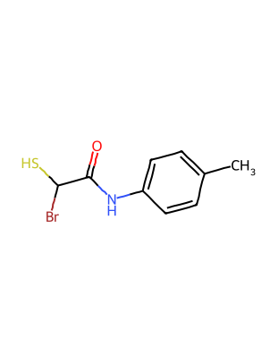 Cc1ccc(NC(=O)C(S)Br)cc1